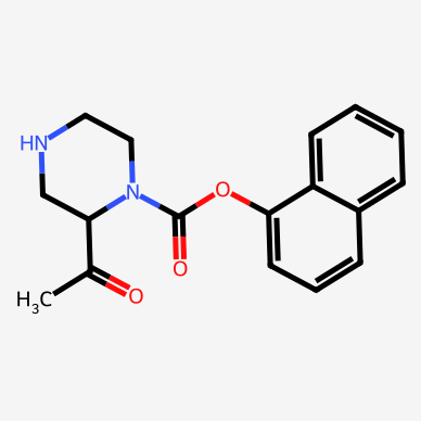 CC(=O)C1CNCCN1C(=O)Oc1cccc2ccccc12